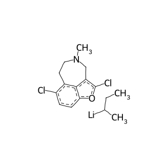 CN1CCc2c(Cl)ccc3oc(Cl)c(c23)C1.[Li][CH](C)CC